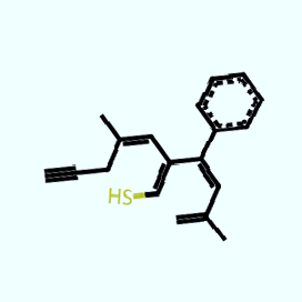 C#CC\C(C)=C/C(=C\S)C(=C\C(=C)C)/c1ccccc1